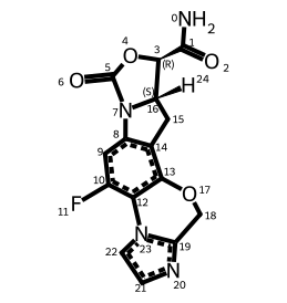 NC(=O)[C@@H]1OC(=O)N2c3cc(F)c4c(c3C[C@@H]12)OCc1nccn1-4